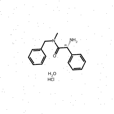 CN(Cc1ccccc1)C(=O)[C@H](N)c1ccccc1.Cl.O